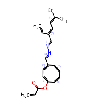 C=CC(=O)OC1=C/C=C(/C=N/N=C/C(C=C)=C/C=C(\C)CC)\C=C/C=C\1